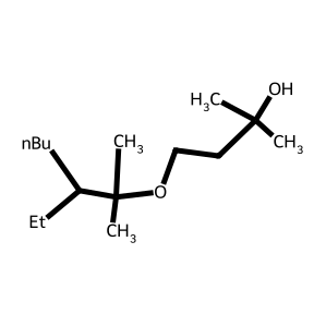 CCCCC(CC)C(C)(C)OCCC(C)(C)O